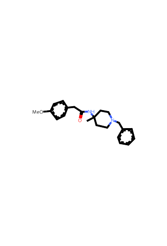 COc1ccc(CC(=O)NC2(C)CCN(Cc3ccccc3)CC2)cc1